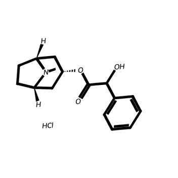 CN1[C@@H]2CC[C@H]1C[C@@H](OC(=O)C(O)c1ccccc1)C2.Cl